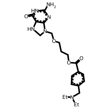 CCN(CC)Cc1ccc(C(=O)OCCCOCN2CNc3c2nc(N)[nH]c3=O)cc1